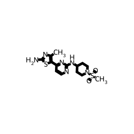 Cc1nc(N)sc1-c1ccnc(NC2CCN(S(C)(=O)=O)CC2)n1